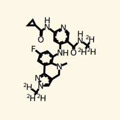 [2H]C([2H])([2H])NC(=O)c1cnc(NC(=O)C2CC2)cc1Nc1cc(F)cc2c1N(C)Cc1cn(C([2H])([2H])[2H])nc1-2